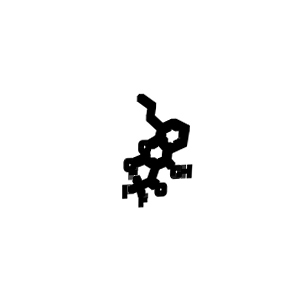 CCCc1cccc2c(O)c(C(=O)C(F)(F)F)c(=O)oc12